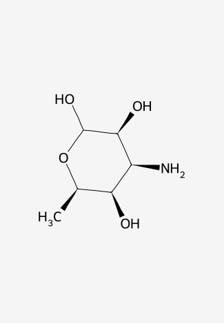 C[C@H]1OC(O)[C@@H](O)[C@@H](N)[C@H]1O